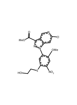 COC(=O)c1nn(-c2cc(SCCO)c([N+](=O)[O-])cc2OC)c2cc(Cl)ncc12